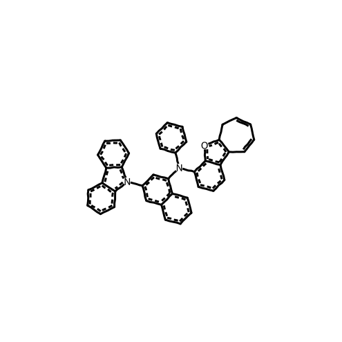 C1=CCc2oc3c(N(c4ccccc4)c4cc(-n5c6ccccc6c6ccccc65)cc5ccccc45)cccc3c2C=C1